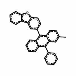 Cc1ccc2c(-c3ccc4oc5ccccc5c4c3)c3ccccc3c(-c3ccccc3)c2c1